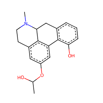 CC(O)Oc1cc2c3c(c1)-c1c(O)cccc1CC3N(C)CC2